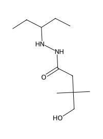 CCC(CC)NNC(=O)CC(C)(C)CO